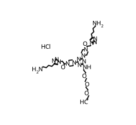 C#CCOCCOCCOCCNc1nc(N2CCN(C(=O)Cn3cc(CCCCN)nn3)CC2)nc(N2CCN(C(=O)Cn3cc(CCCCN)nn3)CC2)n1.Cl